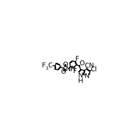 N#Cc1c(Cl)cnc2[nH]cc(C(=O)c3c(F)ccc(NS(=O)(=O)c4ccc(C(F)(F)F)cc4)c3F)c12